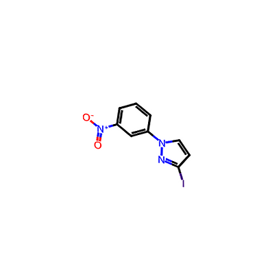 O=[N+]([O-])c1cccc(-n2ccc(I)n2)c1